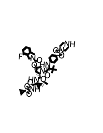 CC[C@@H]1C[C@]1(NC(=O)[C@@H]1C[C@@H](OC(=O)N2Cc3cccc(F)c3C2)CN1C(=O)[C@@H](Nc1ccc(S(=O)(=O)N2CCNCC2)cc1)C(C)(C)C)C(=O)NS(=O)(=O)C1CC1